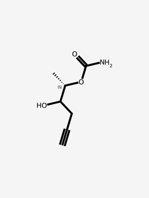 C#CCC(O)[C@H](C)OC(N)=O